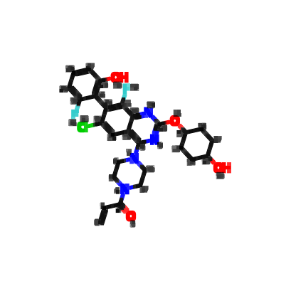 C=CC(=O)N1CCN(c2nc(OC3CCC(O)CC3)nc3c(F)c(-c4c(O)cccc4F)c(Cl)cc23)CC1